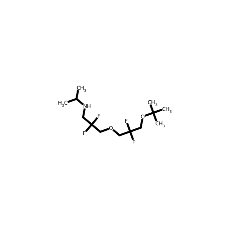 CC(C)NCC(F)(F)COCC(F)(F)COC(C)(C)C